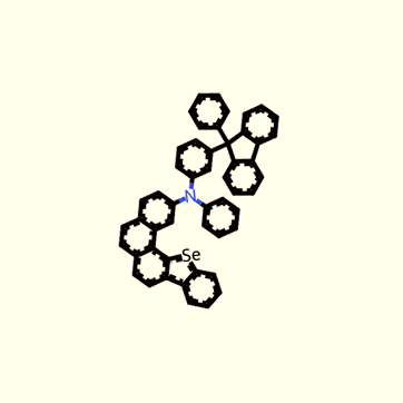 c1ccc(N(c2cccc(C3(c4ccccc4)c4ccccc4-c4ccccc43)c2)c2ccc3ccc4ccc5c6ccccc6[se]c5c4c3c2)cc1